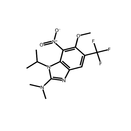 COc1c(C(F)(F)F)cc2nc(N(C)C)n(C(C)C)c2c1[N+](=O)[O-]